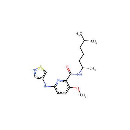 COc1ccc(Nc2cnsc2)nc1C(=O)NC(C)CCCC(C)C